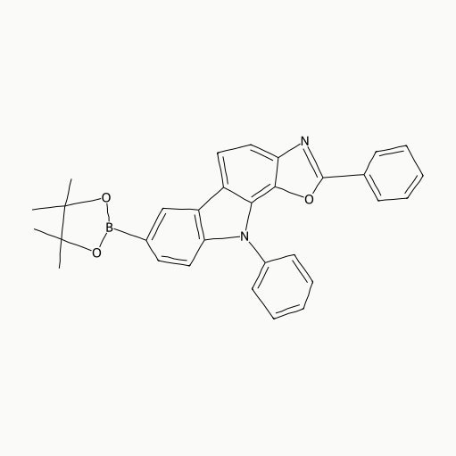 CC1(C)OB(c2ccc3c(c2)c2ccc4nc(-c5ccccc5)oc4c2n3-c2ccccc2)OC1(C)C